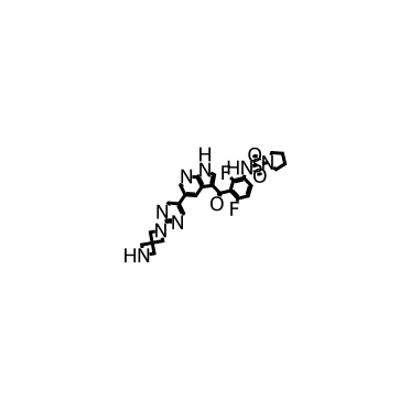 O=C(c1c(F)ccc(NS(=O)(=O)N2CCCC2)c1F)c1c[nH]c2ncc(-c3cnc(N4CC5(CNC5)C4)nc3)cc12